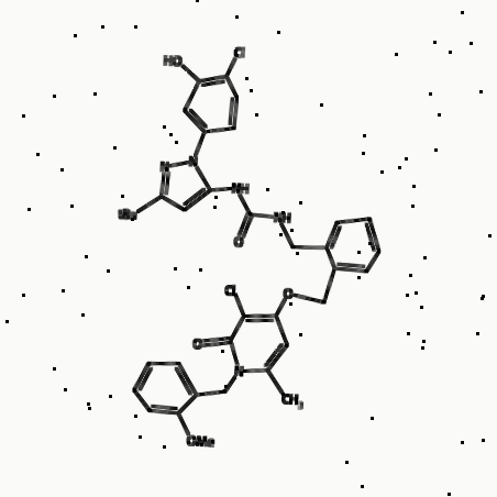 COc1ccccc1Cn1c(C)cc(OCc2ccccc2CNC(=O)Nc2cc(C(C)(C)C)nn2-c2ccc(Cl)c(O)c2)c(Cl)c1=O